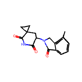 Cc1cccc2c1CN(C1CC3(CC3)C(=O)NC1=O)C2=O